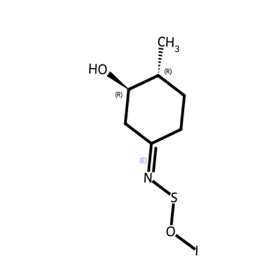 C[C@@H]1CC/C(=N\SOI)C[C@H]1O